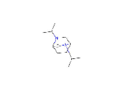 CC(C)N1CC2CCC1CN2C(C)C